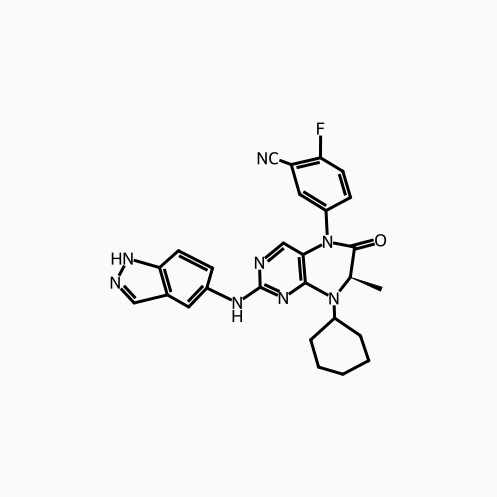 C[C@@H]1C(=O)N(c2ccc(F)c(C#N)c2)c2cnc(Nc3ccc4[nH]ncc4c3)nc2N1C1CCCCC1